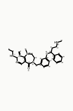 C=NC1=C(/C=N\CNCC)C(=O)N(Cc2cccc(OC(CCNC)c3ccccc3)c2)CCN1C